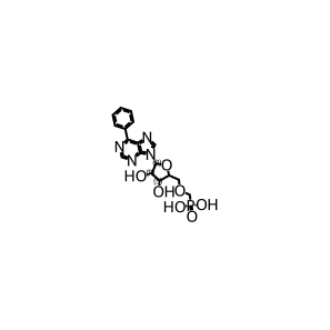 O=P(O)(O)COCC1O[C@@H](n2cnc3c(-c4ccccc4)ncnc32)[C@H](O)[C@@H]1O